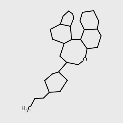 CCCC1CCC(C2COC3CCC4CCCCC4C3C3C(CCC4CCCCC43)C2)CC1